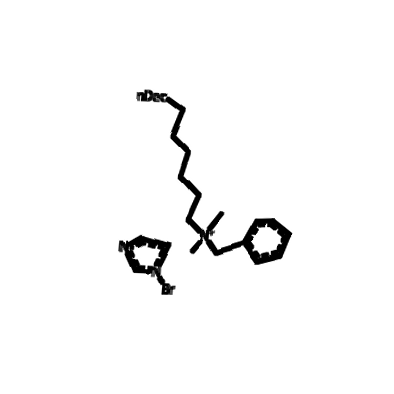 Brn1ccnc1.CCCCCCCCCCCCCCCC[N+](C)(C)Cc1ccccc1